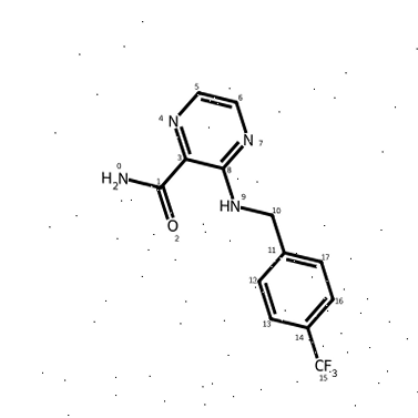 NC(=O)c1nccnc1NCc1ccc(C(F)(F)F)cc1